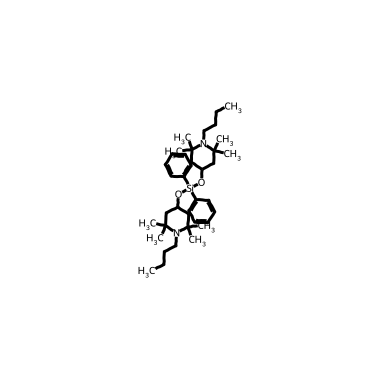 CCCCN1C(C)(C)CC(O[Si](OC2CC(C)(C)N(CCCC)C(C)(C)C2)(c2ccccc2)c2ccccc2)CC1(C)C